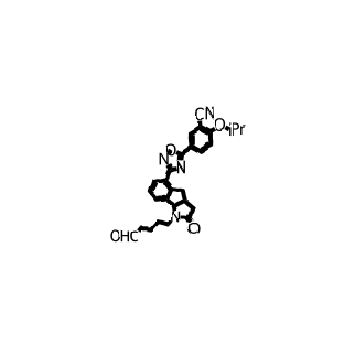 CC(C)Oc1ccc(-c2nc(-c3cccc4c3CC3CC(=O)N(CCCCC=O)C43)no2)cc1C#N